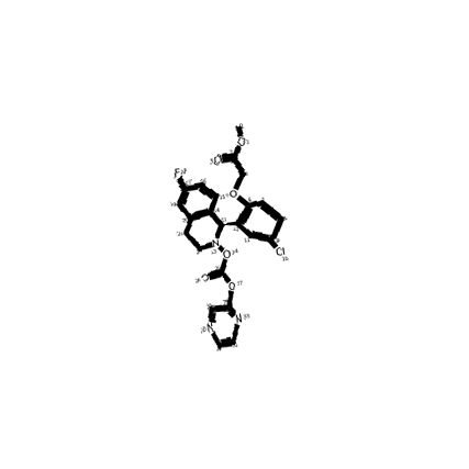 COC(=O)COc1ccc(Cl)cc1[C@@H]1c2ccc(F)cc2CCN1OC(=O)Oc1cnccn1